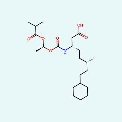 CC(C)C(=O)O[C@H](C)OC(=O)N[C@@H](CC[C@H](C)CCC1CCCCC1)CC(=O)O